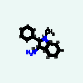 Cn1c(-c2ccccc2)c(N)c2ccccc21